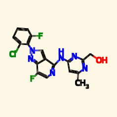 Cc1cc(Nc2ncc(F)c3nn(-c4c(F)cccc4Cl)cc23)nc(CO)n1